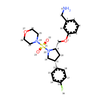 NCc1cccc(OC[C@@H]2C[C@H](c3ccc(F)cc3)CN2S(=O)(=O)N2CCOCC2)c1